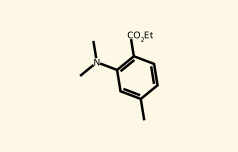 CCOC(=O)c1ccc(C)cc1N(C)C